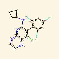 Fc1cc(F)c(-c2c(NC3CCC3)nc3nccnc3c2Cl)c(F)c1